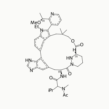 CCn1c(-c2cccnc2[C@H](C)OC)c2c3cc(ccc31)-c1cc(cc3nc[nH]c13)C[C@H](NC(=O)C(C(C)C)N(C)C(C)=O)C(=O)N1CCC[C@H](N1)C(=O)OCC(C)(C)C2